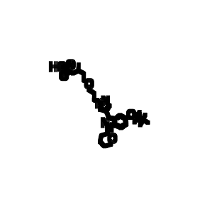 CC(CCOCCCn1cc(-c2nn(C3CCCCO3)c3ccc(O[Si](C)(C)C(C)(C)C)cc23)cn1)CS(=O)(=O)O